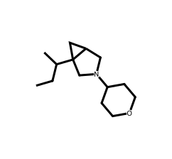 CCC(C)C12CC1CN(C1CCOCC1)C2